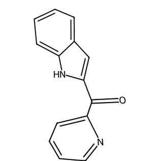 O=C(c1ccccn1)c1cc2ccccc2[nH]1